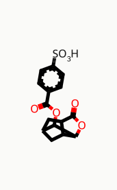 O=C(OC1C2CC3C(=O)OC1C3C2)c1ccc(S(=O)(=O)O)cc1